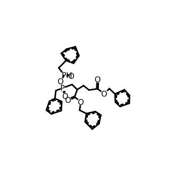 O=C(CCC(CP(=O)(Cc1ccccc1)O[PH](=O)Cc1ccccc1)C(=O)OCc1ccccc1)OCc1ccccc1